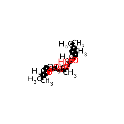 CC(C)C1CCC2=C(CCC3C(C)(C(=O)OCC(O)COCC(C)(C)COCC(O)COC(=O)C4(C)CCCC5(C)C6=C(CCC45)CC(C(C)C)CC6)CCCC23C)C1